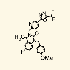 C=C1c2cc(F)ccc2N(Cc2ccc(OC)cc2)C(=O)N1Cc1ccc(-c2nnc(C(F)F)o2)cn1